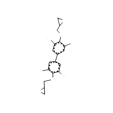 Brc1cc(-c2cc(Br)c(OCC3CO3)c(Br)c2)cc(Br)c1OCC1CO1